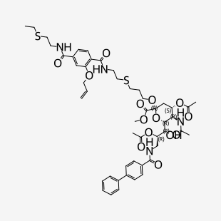 C=CCOc1cc(C(=O)NCCSCC)ccc1C(=O)NCCSCCCO[C@]1(C(=O)OC)C[C@H](OC(C)=O)[C@@H](NC(C)=O)[C@H]([C@H](O)[C@@H](CNC(=O)c2ccc(-c3ccccc3)cc2)OC(C)=O)O1